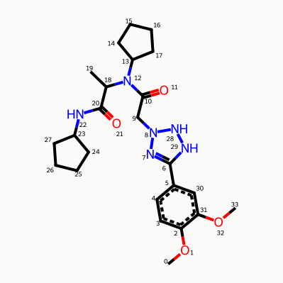 COc1ccc(C2=NN(CC(=O)N(C3CCCC3)C(C)C(=O)NC3CCCC3)NN2)cc1OC